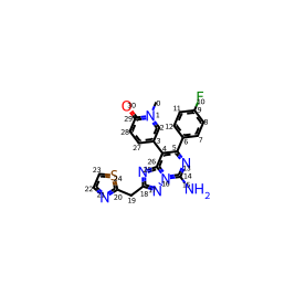 Cn1cc(-c2c(-c3ccc(F)cc3)nc(N)n3nc(Cc4nccs4)nc23)ccc1=O